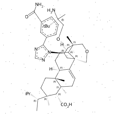 CC(C)[C@@H](C)[C@@]1(C)CC[C@]2(C)[C@H]3CC[C@@H]4[C@@]5(COC[C@@]4(C)[C@@H](OC[C@](C)(N)C(C)(C)C)[C@H](n4ncnc4-c4cccc(C(N)=O)c4)C5)C3=CC[C@@]2(C)[C@@H]1C(=O)O